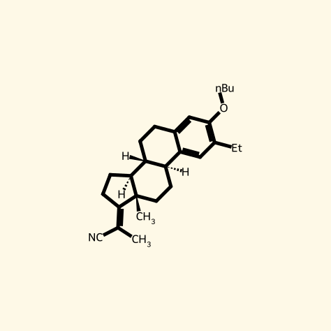 CCCCOc1cc2c(cc1CC)[C@H]1CC[C@]3(C)/C(=C(\C)C#N)CC[C@H]3[C@@H]1CC2